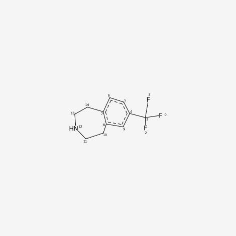 FC(F)(F)c1ccc2c(c1)CCNCC2